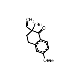 C=CC1(CCCC)CCc2cc(OC)ccc2C1=O